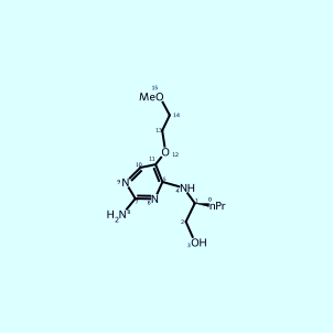 CCC[C@@H](CO)Nc1nc(N)ncc1OCCOC